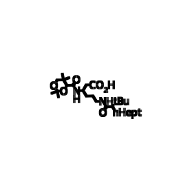 CCCCCCCC(C(=O)NCCCC(CC(=O)O)NC(=O)C1OC(C)(C)OCC1(C)C)C(C)(C)C